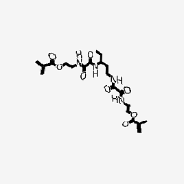 C=C(C)C(=O)OCCNC(=O)C(=O)NCCC(CC)NC(=O)C(=O)NCCOC(=O)C(C)C